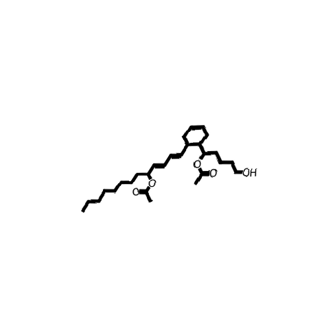 CCCCCCCCC(/C=C/C=C/C1CC=CCC1C(CCCCO)OC(C)=O)OC(C)=O